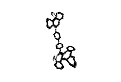 c1cnc2c(c1)cc(-c1ccc(-c3ccc(-c4nc5ccccc5c5c6ccccc6c6ccccc6c45)cc3)cc1)c1ccccc12